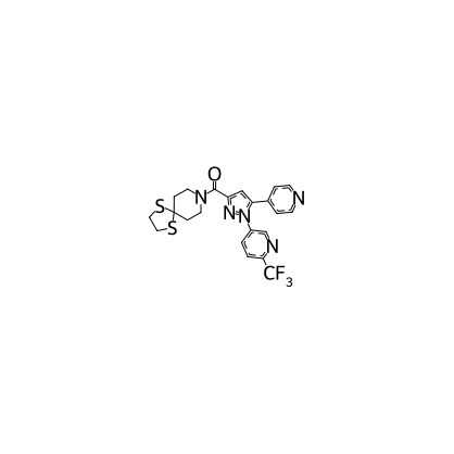 O=C(c1cc(-c2ccncc2)n(-c2ccc(C(F)(F)F)nc2)n1)N1CCC2(CC1)SCCS2